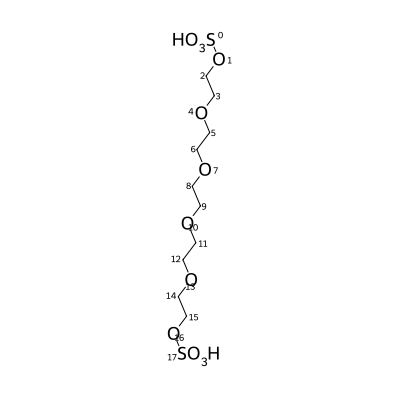 O=S(=O)(O)OCCOCCOCCOCCOCCOS(=O)(=O)O